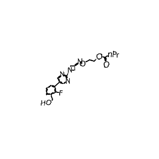 CCCC(=O)OCCON=C1CN(c2ncc(-c3cccc(CO)c3F)cn2)C1